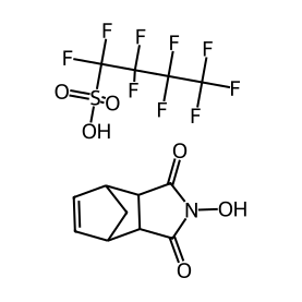 O=C1C2C3C=CC(C3)C2C(=O)N1O.O=S(=O)(O)C(F)(F)C(F)(F)C(F)(F)C(F)(F)F